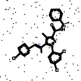 C/C(=C\c1ccc(Cl)cc1)c1c(C)c(C(=O)N[C@@H](C)c2ccccc2)nn1-c1ccc(Cl)cc1Cl